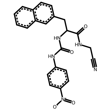 N#CCNC(=O)C(Cc1ccc2ccccc2c1)NC(=O)Nc1ccc([N+](=O)[O-])cc1